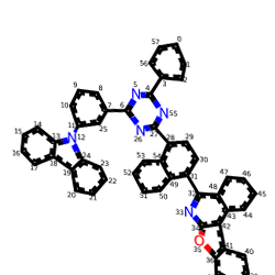 c1ccc(-c2nc(-c3cccc(-n4c5ccccc5c5ccccc54)c3)nc(-c3ccc(-c4nc5oc6ccccc6c5c5ccccc45)c4ccccc34)n2)cc1